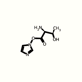 C[C@@H](O)[C@H](N)C(=O)On1ccnc1